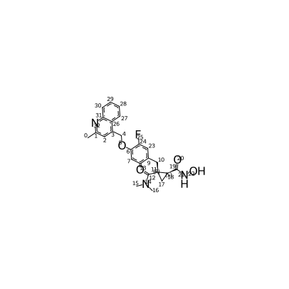 Cc1cc(COc2ccc(C[C@]3(C(=O)N(C)C)C[C@@H]3C(=O)NO)cc2F)c2ccccc2n1